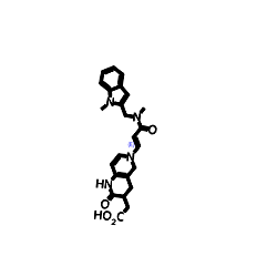 CN(Cc1cc2ccccc2n1C)C(=O)/C=C/N1C=CC2=C(CC(CC(=O)O)C(=O)N2)C1